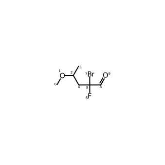 COC(C)CC(F)(Br)[C]=O